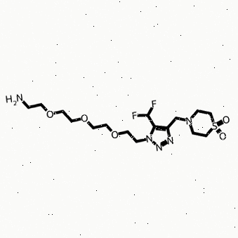 NCCOCCOCCOCCn1nnc(CN2CCS(=O)(=O)CC2)c1C(F)F